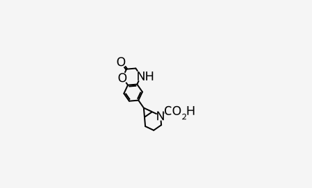 O=C1CNc2cc(C3C4CCCN(C(=O)O)C43)ccc2O1